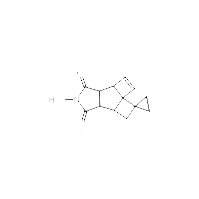 CN1C(=O)C2C(C1=O)C1CC3(CC3)C13C=CC23